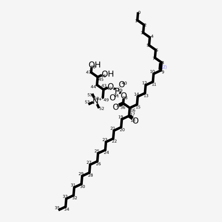 CCCCCCCC/C=C\CCCCCCC(C(=O)CCCCCCCCCCCCCCCCC)C(=O)OP(=O)([O-])OC(CC(O)CO)C[N+](C)(C)C